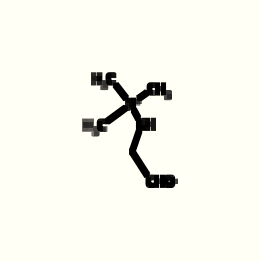 C[N+](C)(C)NC[C]=O